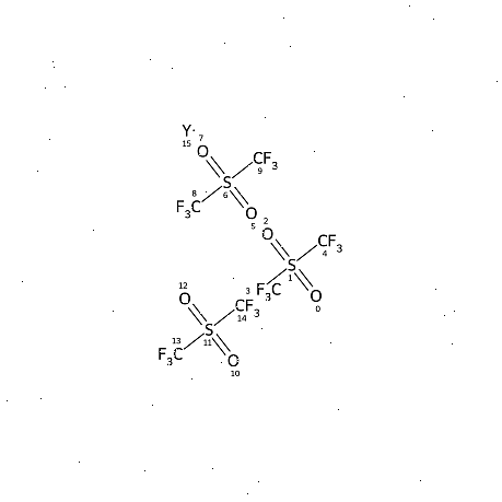 O=S(=O)(C(F)(F)F)C(F)(F)F.O=S(=O)(C(F)(F)F)C(F)(F)F.O=S(=O)(C(F)(F)F)C(F)(F)F.[Y]